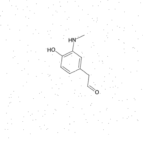 CNc1cc(CC=O)ccc1O